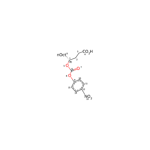 CCCCCCCC[C@H](CCC(=O)O)OC(=O)Oc1ccc([N+](=O)[O-])cc1